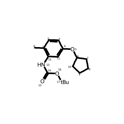 Cc1ccc(OC2CCCC2)cc1NC(=O)OC(C)(C)C